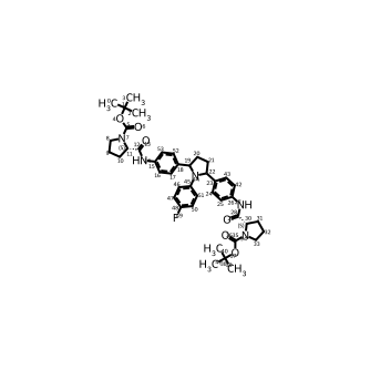 CC(C)(C)OC(=O)N1CCC[C@H]1C(=O)Nc1ccc(C2CCC(c3ccc(NC(=O)[C@@H]4CCCN4C(=O)OC(C)(C)C)cc3)N2c2ccc(F)cc2)cc1